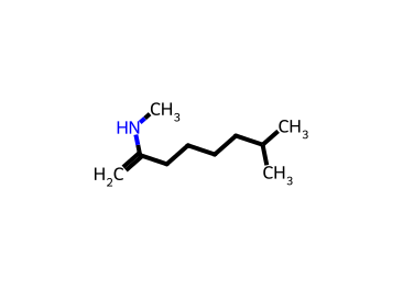 C=C(CCCCC(C)C)NC